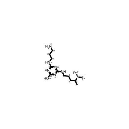 CCN(CC)C(C)CCCNc1nc(O)nc(NCCCN)n1